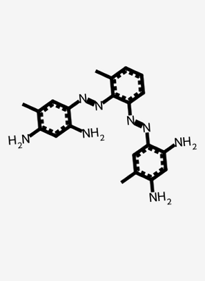 Cc1cc(/N=N/c2cccc(C)c2/N=N/c2cc(C)c(N)cc2N)c(N)cc1N